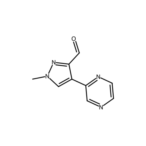 Cn1cc(-c2cnccn2)c(C=O)n1